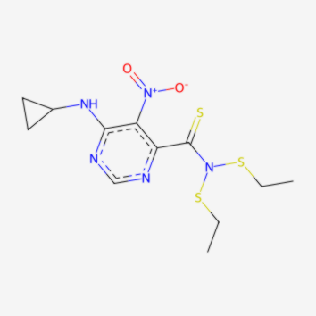 CCSN(SCC)C(=S)c1ncnc(NC2CC2)c1[N+](=O)[O-]